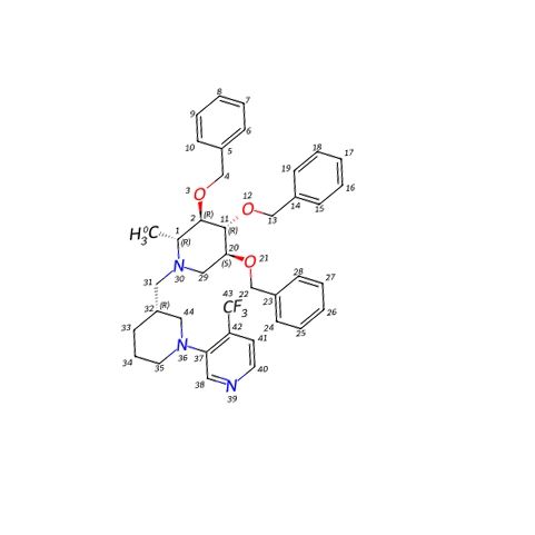 C[C@@H]1[C@@H](OCc2ccccc2)[C@H](OCc2ccccc2)[C@@H](OCc2ccccc2)CN1C[C@H]1CCCN(c2cnccc2C(F)(F)F)C1